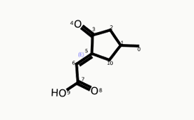 CC1CC(=O)/C(=C/C(=O)O)C1